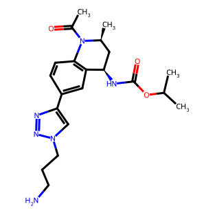 CC(=O)N1c2ccc(-c3cn(CCCN)nn3)cc2[C@H](NC(=O)OC(C)C)C[C@@H]1C